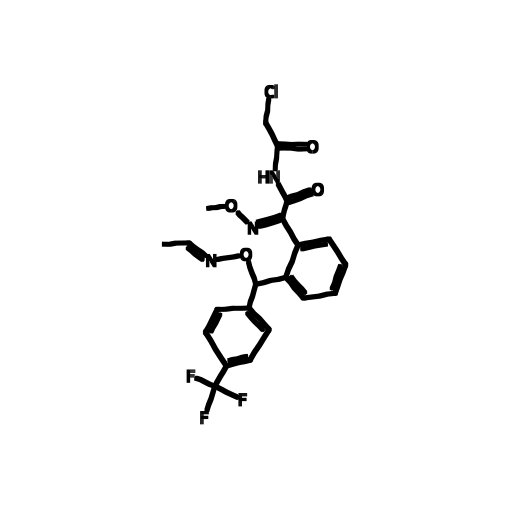 CC=NOC(c1ccc(C(F)(F)F)cc1)c1ccccc1C(=NOC)C(=O)NC(=O)CCl